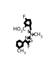 Cc1cccc(-c2nc(N(C)/N=C/c3ccc(F)cc3C(=O)O)sc2F)c1